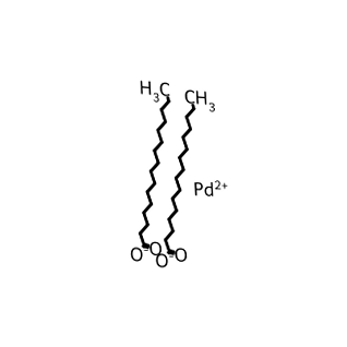 CCCCCCCCCCCCCCCC(=O)[O-].CCCCCCCCCCCCCCCC(=O)[O-].[Pd+2]